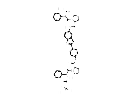 CN(C)[C@@H](C(=O)N1CCC[C@H]1C(=O)Nc1ccc2[nH]c(-c3ccc(NC(=O)[C@@H]4CCCN4C(=O)[C@H](NC(=O)OC(C)(C)C)c4ccccc4)cc3)cc2c1)c1ccccc1